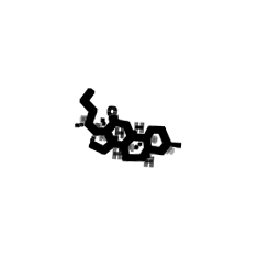 CCC[C@@H](C)[C@H]1CC[C@H]2[C@@H]3CC[C@@H]4C[C@H](C)CC[C@]4(C)[C@H]3CC(=O)[C@]12C